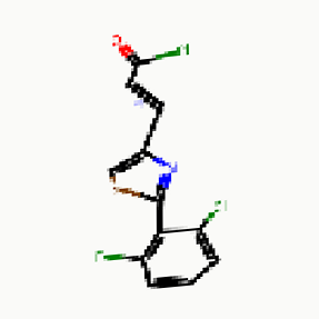 O=C(Cl)/C=C/c1csc(-c2c(F)cccc2Cl)n1